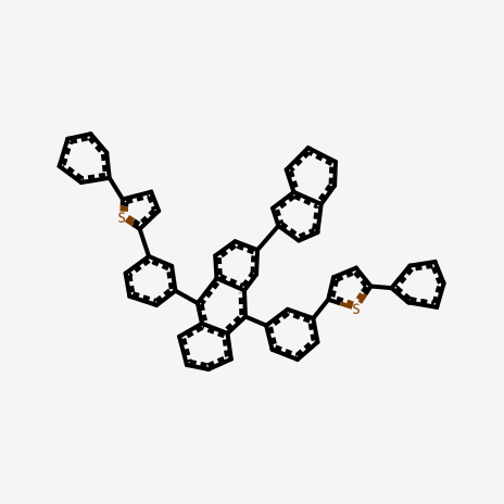 c1ccc(-c2ccc(-c3cccc(-c4c5ccccc5c(-c5cccc(-c6ccc(-c7ccccc7)s6)c5)c5cc(-c6ccc7ccccc7c6)ccc45)c3)s2)cc1